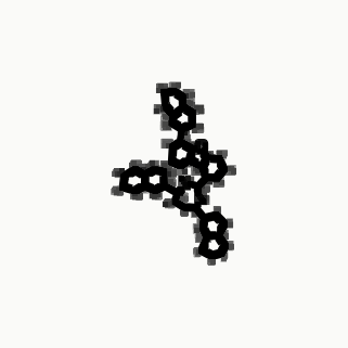 C1=C(c2ccc3ccccc3c2)N=C(c2cccc3oc4c(-c5ccc6ccccc6c5)cccc4c23)N=C(c2ccc3ccccc3c2)C1